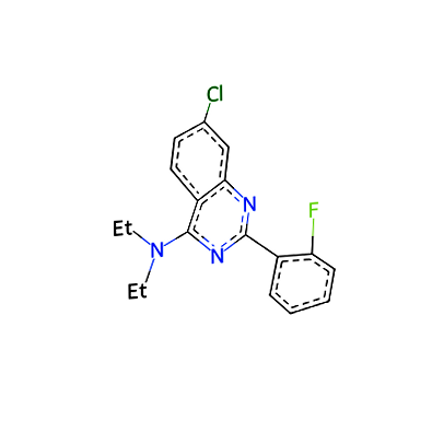 CCN(CC)c1nc(-c2ccccc2F)nc2cc(Cl)ccc12